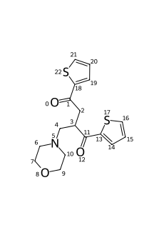 O=C(CC(CN1CCOCC1)C(=O)c1cccs1)c1cccs1